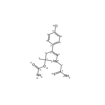 CC(C)(CC(=NNCC(N)=S)c1ccc(Cl)cc1)OC(N)=O